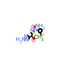 CC(=O)C(c1cnc(N)nc1)c1cnc(N(C(N)=O)c2cc(C(F)(F)F)ccc2F)s1